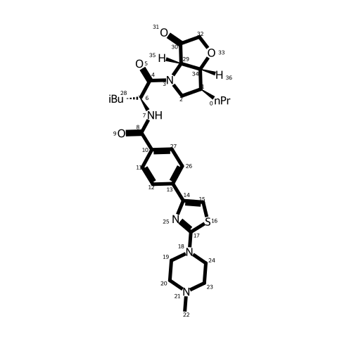 CCC[C@H]1CN(C(=O)[C@@H](NC(=O)c2ccc(-c3csc(N4CCN(C)CC4)n3)cc2)[C@@H](C)CC)[C@@H]2C(=O)CO[C@H]12